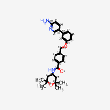 CC1(C)CC(NC(=O)c2ccc(COc3cccc(-c4ccc(N)nc4)c3)cc2)CC(C)(C)O1